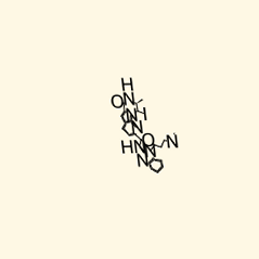 C[C@@H]1NC(=O)c2cc3ccc(C(=O)Nc4nc5ccccc5n4CCCN(C)C)nc3n2C1I